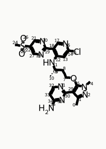 Cc1nn(C)c(OCC[C@H](C)Nc2cc(Cl)ncc2-c2ncc(S(C)(=O)=O)cn2)c1-c1nccc(N)n1